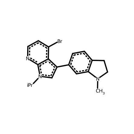 CC(C)n1cc(-c2ccc3c(c2)N(C)CC3)c2c(Br)ccnc21